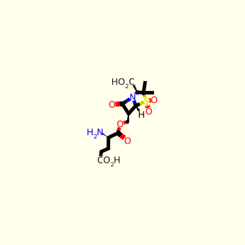 CC1(C)[C@H](C(=O)O)N2C(=O)[C@H](COC(=O)[C@@H](N)CCC(=O)O)[C@H]2S1(=O)=O